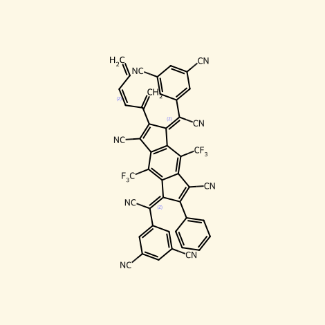 C=C/C=C\C(=C)C1=C(C#N)c2c(c(C(F)(F)F)c3c(c2C(F)(F)F)/C(=C(\C#N)c2cc(C#N)cc(C#N)c2)C(c2ccccc2)=C3C#N)/C1=C(\C#N)c1cc(C#N)cc(C#N)c1